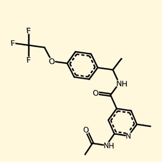 CC(=O)Nc1cc(C(=O)NC(C)c2ccc(OCC(F)(F)F)cc2)cc(C)n1